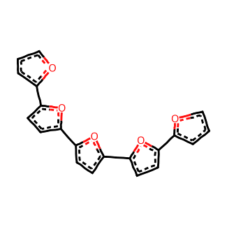 c1coc(-c2ccc(-c3ccc(-c4ccc(-c5ccco5)o4)o3)o2)c1